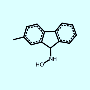 Cc1ccc2c(c1)C(NO)c1ccccc1-2